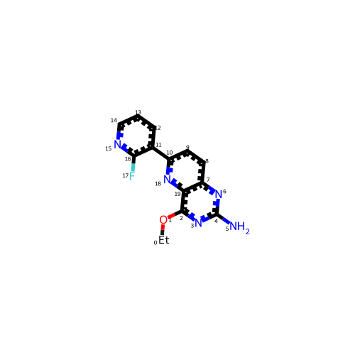 CCOc1nc(N)nc2ccc(-c3cccnc3F)nc12